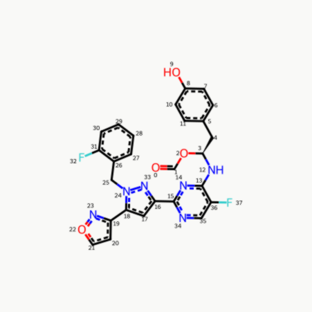 O=CO[C@@H](Cc1ccc(O)cc1)Nc1nc(-c2cc(-c3ccon3)n(Cc3ccccc3F)n2)ncc1F